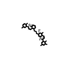 Cc1ccc(C)c(-c2ccc3c(CCCc4cc5c(ccc(-c6cc(C)cc(C)c6C)[n+]5C)c(C)c4F)cccc3[n+]2C)c1